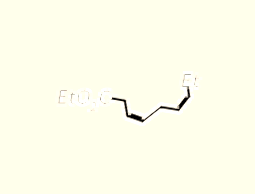 CC/C=C\C/C=C\CC(=O)OCC